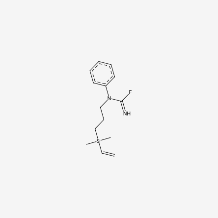 C=C[Si](C)(C)CCCN(C(=N)F)c1ccccc1